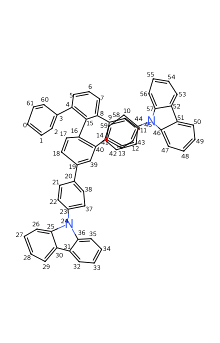 c1ccc(-c2cccc(-c3ccccc3)c2-c2ccc(-c3ccc(-n4c5ccccc5c5ccccc54)cc3)cc2-c2ccc(-n3c4ccccc4c4ccccc43)cc2)cc1